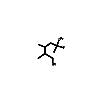 CCCC(C)(F)CC(C)C(C)CC(C)C